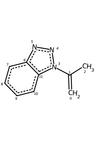 C=C(C)n1nnc2ccccc21